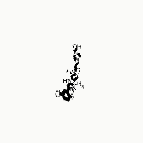 Cc1nnc(-c2cc(Cl)ccc2F)cc1Nc1ccnc(NC(=O)CCN2CCN(CCO)CC2)c1